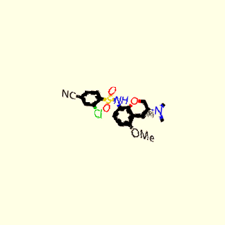 COc1ccc(NS(=O)(=O)c2ccc(C#N)cc2Cl)c2c1C[C@@H](N(C)C)CO2